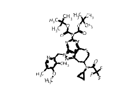 COc1c(C)cnc(Cn2nc3c4c(nc(N(C(=O)OC(C)(C)C)C(=O)OC(C)(C)C)nc42)SCC(N(C(=O)C(F)(F)F)C2CC2)C3)c1C